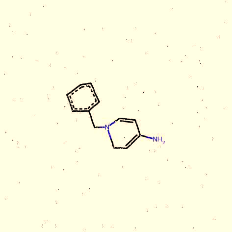 NC1=CCN(Cc2ccccc2)C=C1